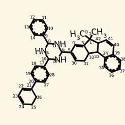 CC1(C)C2=CC(C3NC(c4ccccc4)NC(c4ccc(C5=CC=CCC5)cc4)N3)=CCC2C2c3ccccc3C=CC21